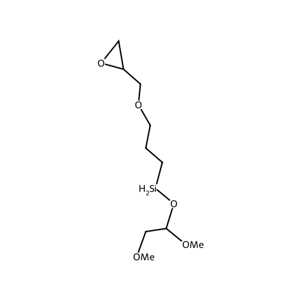 COCC(OC)O[SiH2]CCCOCC1CO1